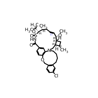 CO[C@H]1/C=C/C[C@@H](C)[C@@H](C(C)C)S(=O)(=O)NC(=O)c2ccc3c(c2)N(CCCCc2cc(Cl)ccc2CO3)C[C@H]2[C@H]1C[C@H]2C